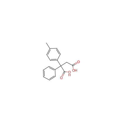 Cc1ccc(C(CC(=O)O)(C(=O)O)c2ccccc2)cc1